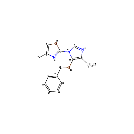 CCOC(=O)c1ncn(-c2nc(C)cs2)c1SCc1ccccc1